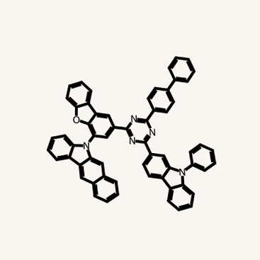 c1ccc(-c2ccc(-c3nc(-c4cc(-n5c6ccccc6c6cc7ccccc7cc65)c5oc6ccccc6c5c4)nc(-c4ccc5c6ccccc6n(-c6ccccc6)c5c4)n3)cc2)cc1